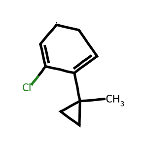 CC1(C2=CC[CH]C=C2Cl)CC1